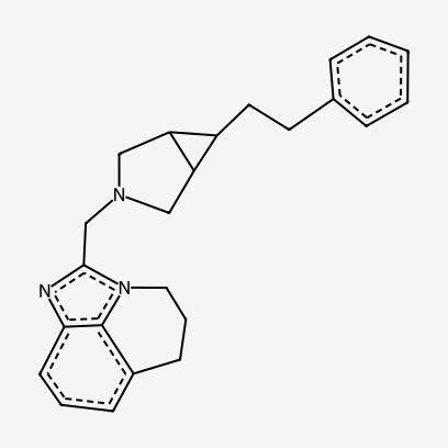 c1ccc(CCC2C3CN(Cc4nc5cccc6c5n4CCC6)CC23)cc1